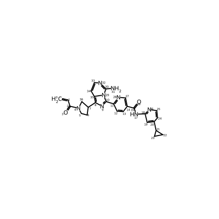 C=CC(=O)N1CCC(c2nc(-c3ccc(C(=O)Nc4cc(C5CC5)ccn4)cn3)n3c(N)nccc23)C1